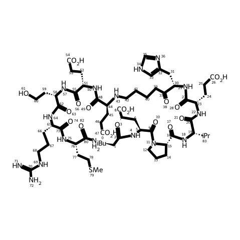 CC[C@H](C)CC(=O)N[C@@H](CCC(=O)O)C(=O)N1CCC[C@H]1C(=O)N[C@H](C(=O)N[C@@H](CCC(=O)O)C(=O)N[C@@H](Cc1c[nH]cn1)C(=O)CCCCN[C@@H](CCC(=O)O)C(=O)N[C@@H](CCC(=O)O)C(=O)N[C@@H](CCO)C(=O)N[C@@H](CCCNC(=N)N)C(=O)N[C@@H](CCSC)C(N)=O)C(C)C